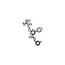 Cc1cccc(C=NNc2cc(N3CCOCC3)nc(OCCNC(=N)N(C)C)n2)c1